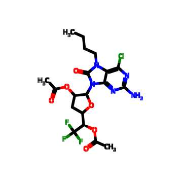 CCCCn1c(=O)n(C2OC([C@@H](OC(C)=O)C(F)(F)F)CC2OC(C)=O)c2nc(N)nc(Cl)c21